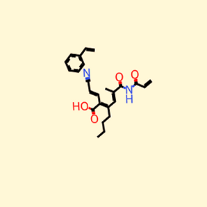 C=CC(=O)NC(=O)C(C)=CC(CCCC)=C(C=CC#N)C(=O)O.C=Cc1ccccc1